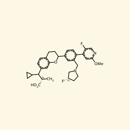 COc1cc(-c2ccc(C3CCc4ccc(C(C5CC5)[C@H](C)C(=O)O)cc4O3)cc2CN2CC[C@H](F)C2)c(F)cn1